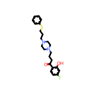 O=C(CCCN1CCN(CCCSc2ccccc2)CC1)c1ccc(F)cc1O